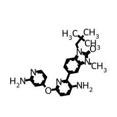 Cn1c(=O)n(CC(C)(C)C)c2ccc(-c3nc(Oc4ccnc(N)c4)ccc3N)cc21